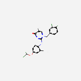 COc1cn(Cc2ccc(F)c(F)c2)c(Nc2ccc(OC(F)F)cc2C)nc1=O